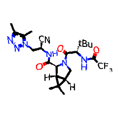 Cc1nnn(C[C@@H](C#N)NC(=O)[C@@H]2[C@@H]3[C@H](CN2C(=O)[C@@H](NC(=O)C(F)(F)F)C(C)(C)C)C3(C)C)c1C